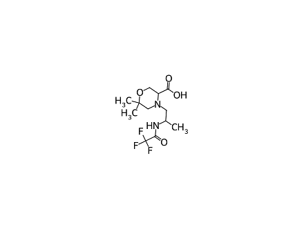 CC(CN1CC(C)(C)OCC1C(=O)O)NC(=O)C(F)(F)F